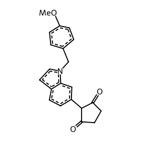 COc1ccc(Cn2ccc3ccc(C4C(=O)CCC4=O)cc32)cc1